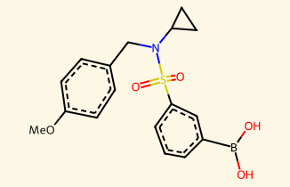 COc1ccc(CN(C2CC2)S(=O)(=O)c2cccc(B(O)O)c2)cc1